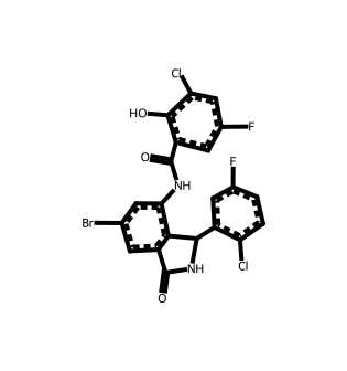 O=C(Nc1cc(Br)cc2c1C(c1cc(F)ccc1Cl)NC2=O)c1cc(F)cc(Cl)c1O